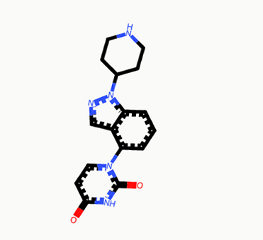 O=c1ccn(-c2cccc3c2cnn3C2CCNCC2)c(=O)[nH]1